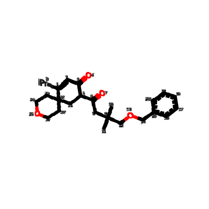 CC(C)C1=CC(=O)C(C(=O)CC(C)(C)COCc2ccccc2)CC12CCOCC2